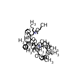 C#CCO/N=C(\CCC)C[C@@H](NC(=O)C(NC(=O)C(/N=C1\NCC(=O)N2CC[C@@H](C)[C@H]2C(=O)N[C@@H](C(C)C)C(=O)NC1C(C)(C)C)C(C)(C)C)[C@@H](C)c1ccccc1)c1nccs1